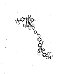 Cc1ncsc1-c1ccc(CNC(=O)[C@@H]2C[C@@H](C)CN2C(=O)[C@@H](NC(=O)OCCOCCOc2ccc(-c3ccc(N4C(=S)N(c5ccc(C#N)c(C(F)(F)F)c5)C(=O)C4(C)C)cc3F)cc2)C(C)(C)C)cc1